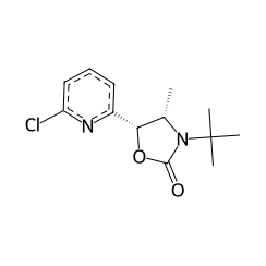 C[C@H]1[C@@H](c2cccc(Cl)n2)OC(=O)N1C(C)(C)C